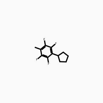 Cc1c(F)c(F)c(C2CCCC2)c(F)c1F